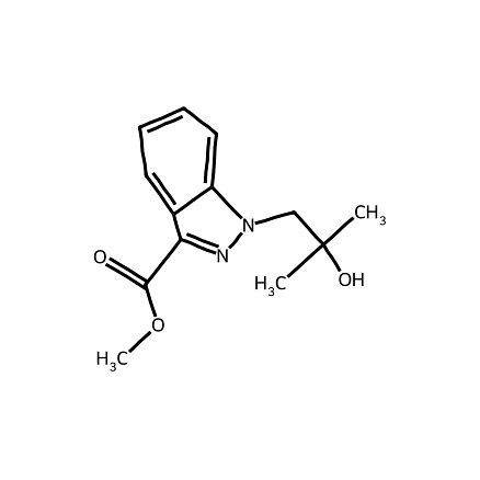 COC(=O)c1nn(CC(C)(C)O)c2ccccc12